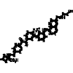 Cc1c(Nc2nccc3cc(CNCCO)cnc23)cccc1-c1cccc(N(F)C(=O)c2ccc(CNC3(C(=O)O)CCC3)cn2)c1